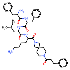 CC(C)C[C@@H](NC(=O)[C@@H](Cc1ccccc1)NC(=O)[C@H](N)Cc1ccccc1)C(=O)N[C@H](CCCCN)C(=O)N1CC2(CCN(C(=O)CCc3ccccc3)CC2)C1